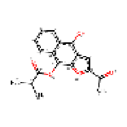 CC(=O)c1cc2c(O)c3ccccc3c(OC(=O)C(C)C)c2o1